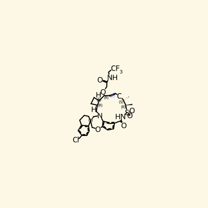 C[C@@H]1[C@@H](C)C/C=C/[C@H](OCC(=O)NCC(F)(F)F)[C@@H]2CC[C@H]2CN2C[C@@]3(CCCc4cc(Cl)ccc43)COc3ccc(cc32)C(=O)NS1(=O)=O